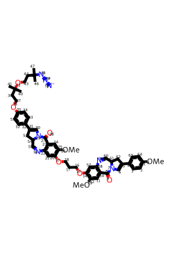 COc1ccc(C2=CN3C(=O)c4cc(OC)c(OCCCOc5cc6c(cc5OC)C(=O)N5C=C(c7ccc(OCCC(C)(C)OCCC(C)(C)N=[N+]=[N-])cc7)CC5C=N6)cc4N=CC3C2)cc1